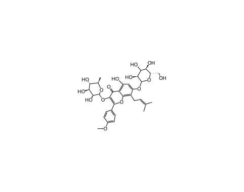 COc1ccc(-c2oc3c(CC=C(C)C)c(OC4O[C@@H](CO)[C@H](O)C(O)[C@@H]4O)cc(O)c3c(=O)c2OC2O[C@H](C)[C@@H](O)[C@H](O)[C@@H]2O)cc1